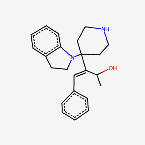 CC(O)C(=Cc1ccccc1)C1(N2CCc3ccccc32)CCNCC1